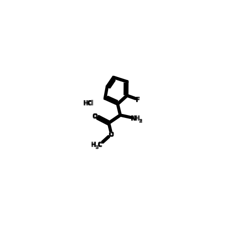 COC(=O)C(N)c1ccccc1F.Cl